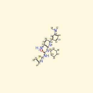 Cc1nc(NC(=O)N(c2nc(-c3cccc(N(C)C)c3)ccc2N)C2CCCCC2)sc1C